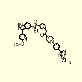 CCN(C(=O)C1CCN(CC(=O)N2CCN(c3ccc(-c4ncn(C)n4)cc3)CC2)C1)c1ccc2[nH]nc(-c3ccc(OC(C)C)nc3)c2c1